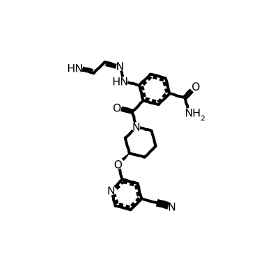 N#Cc1ccnc(O[C@@H]2CCCN(C(=O)c3cc(C(N)=O)ccc3N/N=C\C=N)C2)c1